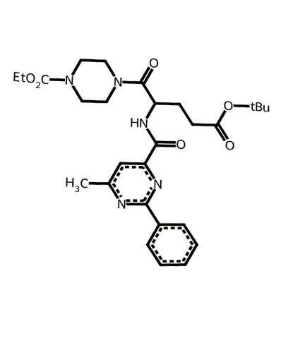 CCOC(=O)N1CCN(C(=O)C(CCC(=O)OC(C)(C)C)NC(=O)c2cc(C)nc(-c3ccccc3)n2)CC1